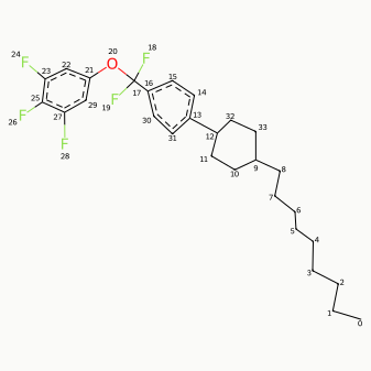 CCCCCCCCCC1CCC(c2ccc(C(F)(F)Oc3cc(F)c(F)c(F)c3)cc2)CC1